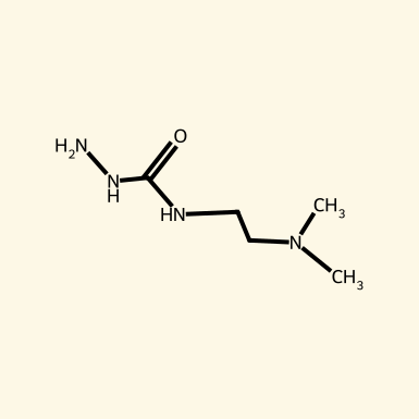 CN(C)CCNC(=O)NN